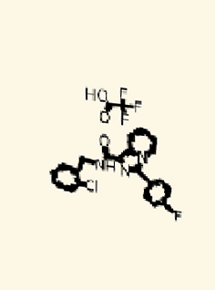 O=C(NCc1ccccc1Cl)c1nc(-c2ccc(F)cc2)n2ccccc12.O=C(O)C(F)(F)F